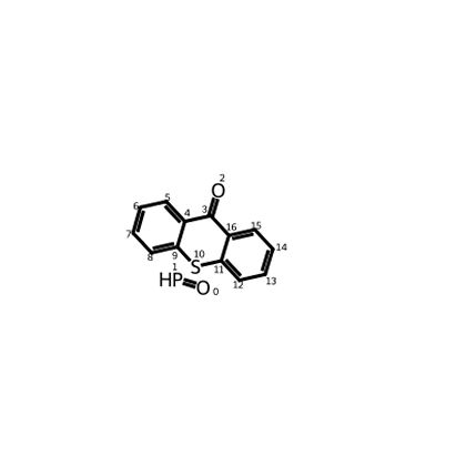 O=P.O=c1c2ccccc2sc2ccccc12